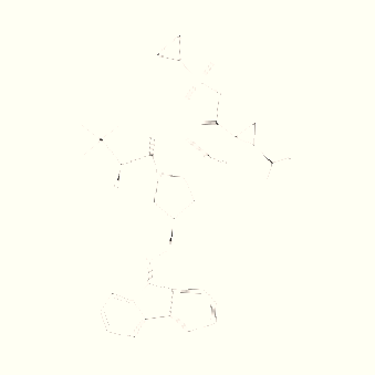 CC(C)(C)[C@H](N)C(=O)N1C[C@H](ON=C2c3ccccc3-c3ccccc32)C[C@H]1C(=O)N[C@]1(C(=O)NS(=O)(=O)C2CC2)C[C@H]1C(F)F